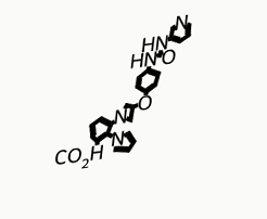 O=C(Nc1ccc(OC2CN(c3cccc(C(=O)O)c3-n3cccc3)C2)cc1)Nc1cccnc1